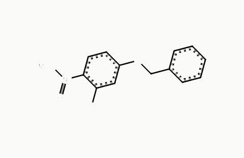 CO[N+](=O)c1ccc(OCc2ccccc2)cc1C